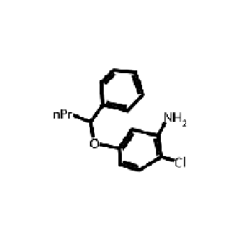 CCCC(Oc1ccc(Cl)c(N)c1)c1ccccc1